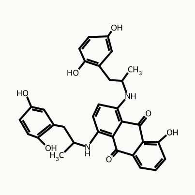 CC(Cc1cc(O)ccc1O)Nc1ccc(NC(C)Cc2cc(O)ccc2O)c2c1C(=O)c1cccc(O)c1C2=O